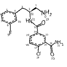 NC[C@H](Cc1cccc(F)c1)NC(=O)c1ccc(Cl)c(C(N)=O)c1